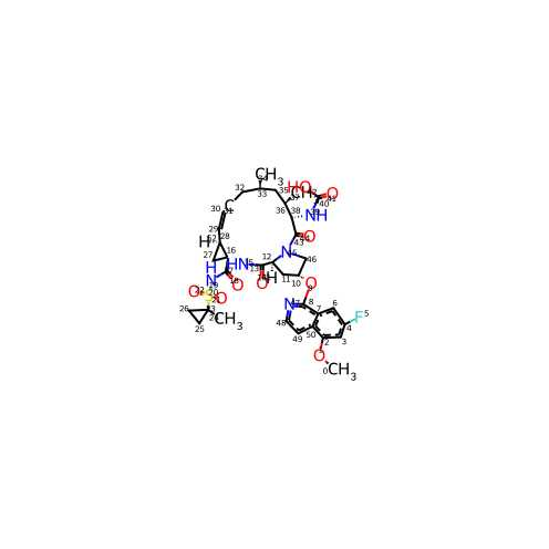 COc1cc(F)cc2c(O[C@@H]3C[C@H]4C(=O)N[C@]5(C(=O)NS(=O)(=O)C6(C)CC6)C[C@H]5/C=C\CC[C@@H](C)C[C@@H](C)[C@H](NC(=O)O)C(=O)N4C3)nccc12